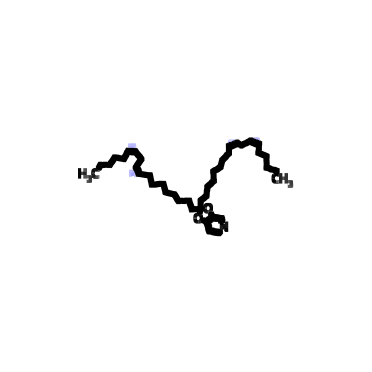 CCCCC/C=C\C/C=C\CCCCCCCCC1(CCCCCCCC/C=C\C/C=C\CCCCC)Oc2ccncc2O1